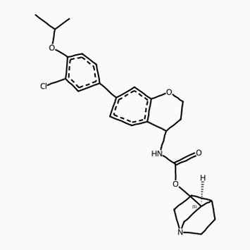 CC(C)Oc1ccc(-c2ccc3c(c2)OCCC3NC(=O)O[C@@H]2CN3CCC2CC3)cc1Cl